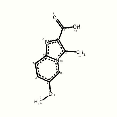 COc1ccc2nc(C(=O)O)c(C)n2c1